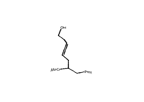 CCCC(C)CC(CC=CCO)OC